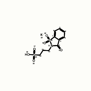 O=C1c2ccccc2S(=O)(=O)N1CCCS(=O)(=O)O.[K]